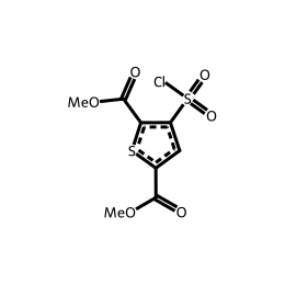 COC(=O)c1cc(S(=O)(=O)Cl)c(C(=O)OC)s1